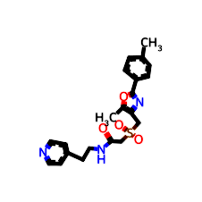 Cc1ccc(-c2nc(CS(=O)(=O)CC(=O)NCCc3ccncc3)c(C)o2)cc1